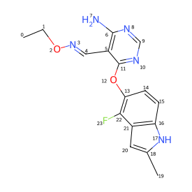 CCON=Cc1c(N)ncnc1Oc1ccc2[nH]c(C)cc2c1F